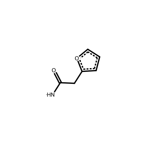 [NH]C(=O)Cc1ccco1